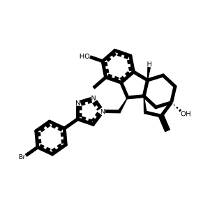 C=C1C[C@]23C[C@@]1(O)CC[C@H]2c1ccc(O)c(C)c1[C@@H]3Cn1cc(-c2ccc(Br)cc2)nn1